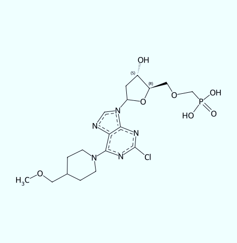 COCC1CCN(c2nc(Cl)nc3c2ncn3C2C[C@H](O)[C@@H](COCP(=O)(O)O)O2)CC1